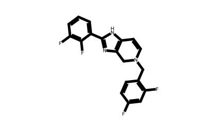 Fc1ccc(CN2C=Cc3[nH]c(-c4cccc(F)c4F)nc3C2)c(F)c1